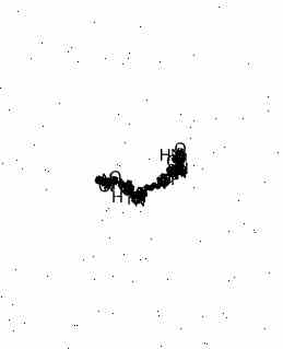 Cc1cc(-c2ncnn3cc(CCCCN4CCC(c5ccc6c(N7CCC(=O)NC7=O)nn(C)c6c5F)CC4)cc23)ccc1CNC(=O)c1noc(C(C)(C)C)n1